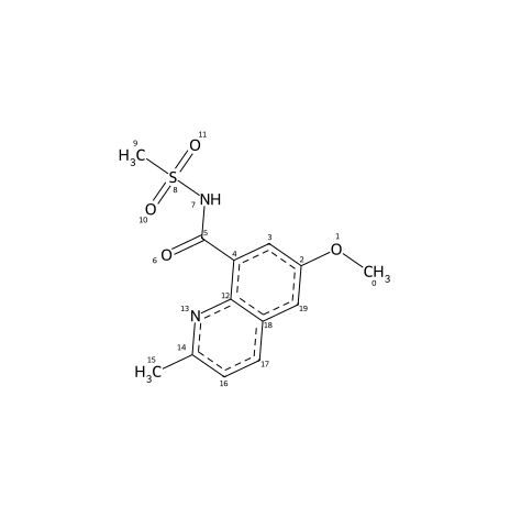 COc1cc(C(=O)NS(C)(=O)=O)c2nc(C)ccc2c1